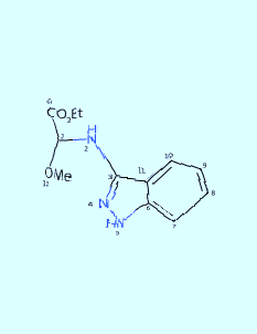 CCOC(=O)C(Nc1n[nH]c2ccccc12)OC